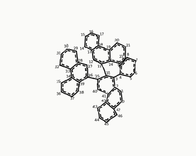 [c]1cc2c(-c3ccccc3)c(-c3cc4ccccc4c4ccccc34)c(-c3cc4ccccc4c4ccccc34)cc2c2ccccc12